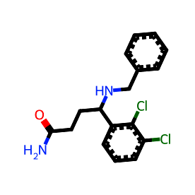 NC(=O)CCC(NCc1ccccc1)c1cccc(Cl)c1Cl